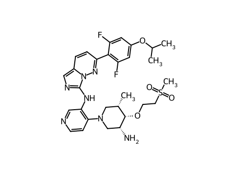 CC(C)Oc1cc(F)c(-c2ccc3cnc(Nc4cnccc4N4C[C@@H](N)[C@@H](OCCS(C)(=O)=O)[C@@H](C)C4)n3n2)c(F)c1